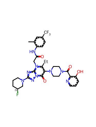 CCc1c(N2CCN(C(=O)c3ncccc3O)CC2)c(=O)n2nc(N3CCC[C@H](F)C3)nc2n1CC(=O)Nc1ccc(C(F)(F)F)cc1C